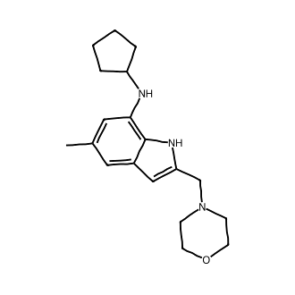 Cc1cc(NC2CCCC2)c2[nH]c(CN3CCOCC3)cc2c1